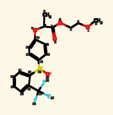 COCCOC(=O)C(C)Oc1ccc([S+]([O-])c2ccccc2C(F)(F)F)cc1